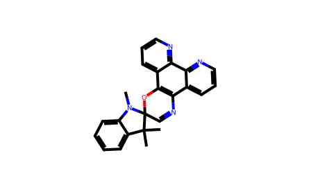 CN1c2ccccc2C(C)(C)C12C=Nc1c(c3cccnc3c3ncccc13)O2